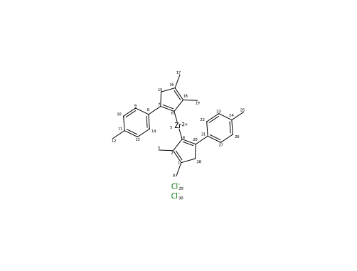 CC1=C(C)[C]([Zr+2][C]2=C(c3ccc(C)cc3)CC(C)=C2C)=C(c2ccc(C)cc2)C1.[Cl-].[Cl-]